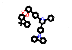 CC1(C)c2ccccc2-c2c1ccc1c2Oc2c(cccc2-c2ccc(-c3cc(-c4ccc(-n5c6ccccc6c6ccccc65)cc4)cc(-c4ccccc4)n3)cc2)O1